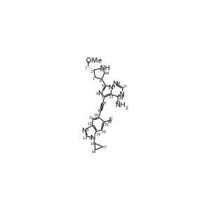 COC[C@H]1CC(c2nc(C#Cc3cc4ncn(C5CC5)c4cc3F)c3c(N)ncnn23)CN1